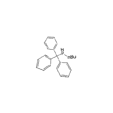 CCCCPC(c1ccccc1)(c1ccccc1)c1ccccc1